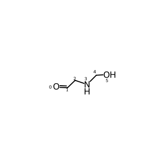 O=CCNCO